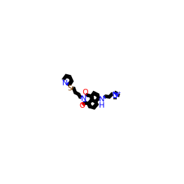 C[N+](C)(C)CCCNC1C=CC2=C3C(=CC=CC31)C(=O)N(CCCCSc1ccccn1)C2=O